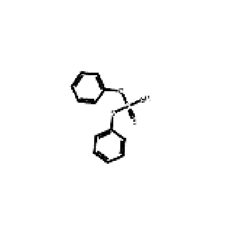 S=P(S)(Oc1ccccc1)Sc1ccccc1